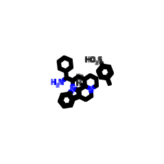 CC[C@]12CCCN3CCc4c(n(c5ccccc45)C(C(N)C4CCCCC4)C1)[C@@H]32.Cc1ccc(S(=O)(=O)O)cc1